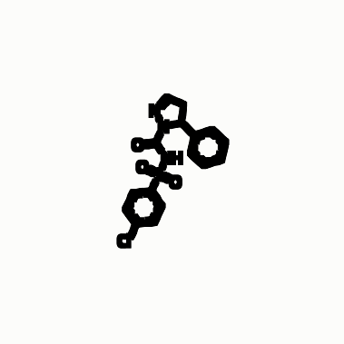 O=C(NS(=O)(=O)c1ccc(Cl)cc1)N1N=CCC1c1ccccc1